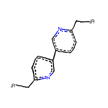 CC(C)Cc1ccc(-c2ccc(CC(C)C)nc2)cn1